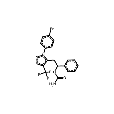 NC(=O)OC(Cc1c(C(F)(F)F)cnn1-c1ccc(Br)cc1)c1ccccc1